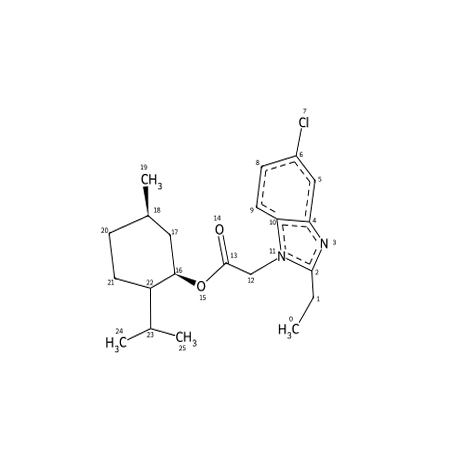 CCc1nc2cc(Cl)ccc2n1CC(=O)O[C@@H]1C[C@H](C)CCC1C(C)C